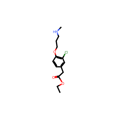 CCOC(=O)Cc1ccc(OCCCNC)c(Cl)c1